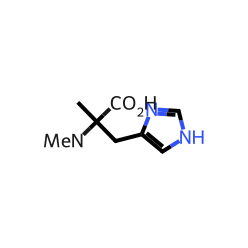 CNC(C)(Cc1c[nH]cn1)C(=O)O